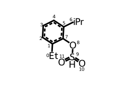 CCc1cccc(C(C)C)c1O[SH](=O)=O